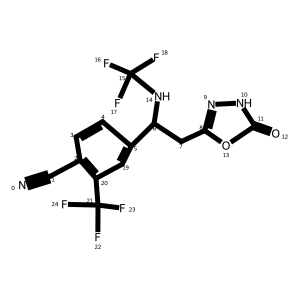 N#Cc1ccc(C(Cc2n[nH]c(=O)o2)NC(F)(F)F)cc1C(F)(F)F